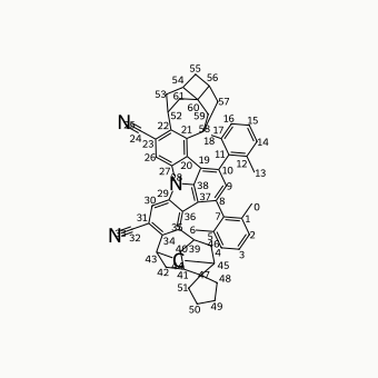 Cc1cccc(C)c1-c1cc(-c2c(C)cccc2C)c2c3c4c(c(C#N)cc3n3c5cc(C#N)c6c(c5c1c23)C1CC2CC6CC(C1)C21CCCC1)C1CC2CC3CC4CC23C1